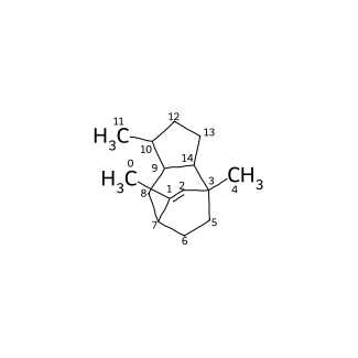 CC1=CC2(C)CCC1CC1C(C)CCC12